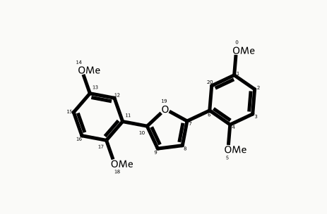 COc1ccc(OC)c(-c2ccc(-c3cc(OC)ccc3OC)o2)c1